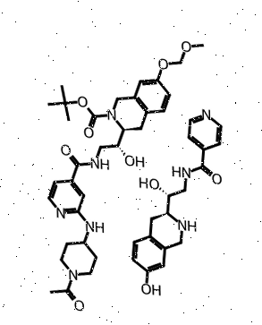 COCOc1ccc2c(c1)CN(C(=O)OC(C)(C)C)[C@H]([C@H](O)CNC(=O)c1ccnc(NC3CCN(C(C)=O)CC3)c1)C2.O=C(NC[C@@H](O)[C@@H]1Cc2ccc(O)cc2CN1)c1ccncc1